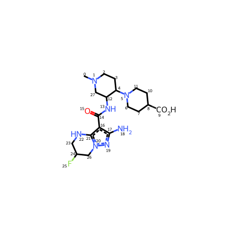 CN1CCC(N2CCC(C(=O)O)CC2)C(NC(=O)c2c(N)nn3c2NCC(F)C3)C1